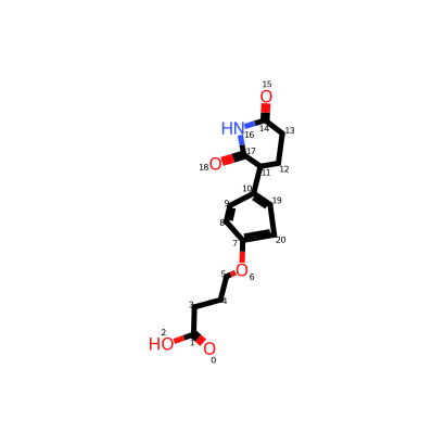 O=C(O)CCCOc1ccc(C2CCC(=O)NC2=O)cc1